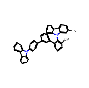 N#Cc1ccc2c3ccccc3n(-c3c(C#N)cccc3-c3cccc(-c4ccc(-n5c6ccccc6c6ccccc65)cc4)c3)c2c1